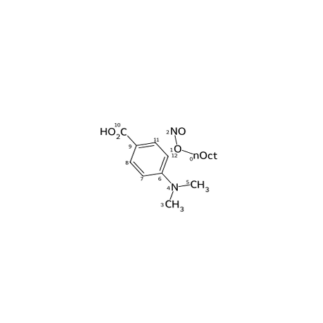 CCCCCCCCON=O.CN(C)c1ccc(C(=O)O)cc1